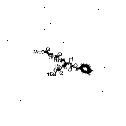 COC(=O)CCNC(=O)NC[C@H](CNC(=O)OC(C)(C)C)NC(=O)OCc1ccccc1